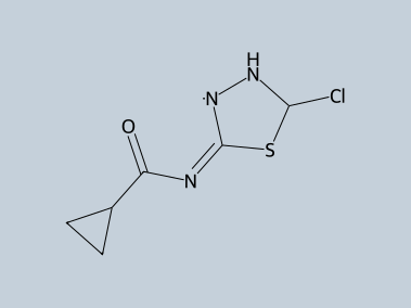 O=C(N=C1[N]NC(Cl)S1)C1CC1